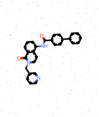 O=C(Nc1cccc2c(=O)n(Cc3cccnc3)ccc12)c1ccc(-c2ccccc2)cc1